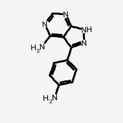 Nc1ccc(-c2n[nH]c3ncnc(N)c23)cc1